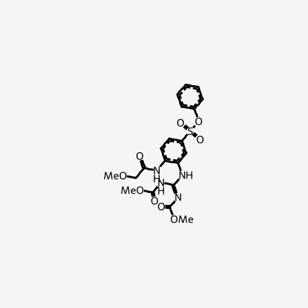 COCC(=O)Nc1ccc(S(=O)(=O)Oc2ccccc2)cc1N/C(=N/C(=O)OC)NC(=O)OC